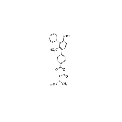 CCCCCCCCc1ccc(-c2ccc(C(=O)OC(=O)OC(C)CCCCCC)cc2)c(C(=O)O)c1-c1ccccc1